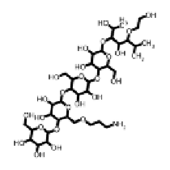 CC(C)C(OCCO)C(O)C(OC1OC(CO)C(OC2OC(CO)C(OC3OC(COCCCN)C(OC4OC(CO)C(O)C(O)C4O)C(O)C3O)C(O)C2O)C(O)C1O)C(C)O